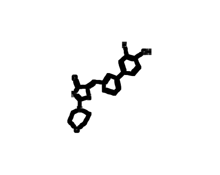 O=C1N=C(N2CCOCC2)SC1=Cc1cccc(-c2ccc(O)c(F)c2)c1